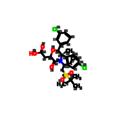 CCC(CS(=O)(=O)C(C)(C)C)N1C(=O)[C@@H](CC(=O)O)OC(c2cccc(Cl)c2)[C@@]1(C)c1ccc(Cl)cc1